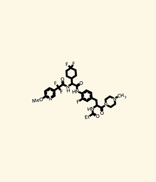 CCC(=O)NC(Cc1ccc(NC(=O)C(NC(=O)C(F)(F)c2ccc(OC)nc2)C2CCC(F)(F)CC2)c(F)c1)C(=O)N1CCN(C)CC1